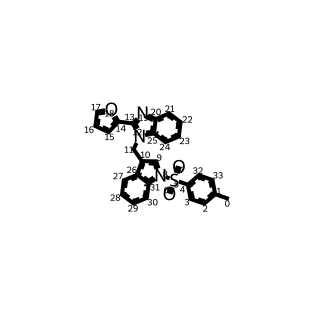 Cc1ccc(S(=O)(=O)n2cc(Cn3c(-c4ccco4)nc4ccccc43)c3ccccc32)cc1